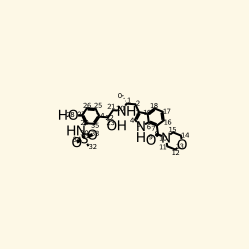 C[C@H](Cc1c[nH]c2c(C(=O)N3CCOCC3)cccc12)NC[C@H](O)c1ccc(O)c(NS(C)(=O)=O)c1